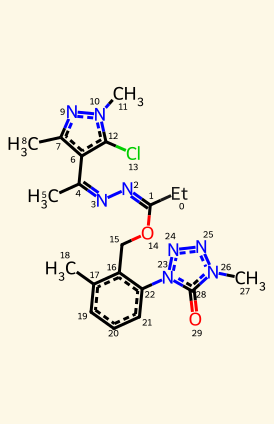 CC/C(=N/N=C(C)c1c(C)nn(C)c1Cl)OCc1c(C)cccc1-n1nnn(C)c1=O